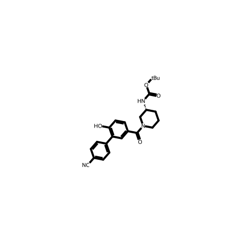 CC(C)(C)OC(=O)N[C@@H]1CCCN(C(=O)c2ccc(O)c(-c3ccc(C#N)cc3)c2)C1